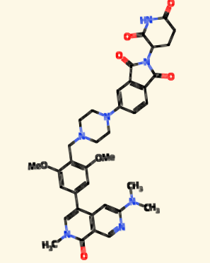 COc1cc(-c2cn(C)c(=O)c3cnc(N(C)C)cc23)cc(OC)c1CN1CCN(c2ccc3c(c2)C(=O)N(C2CCC(=O)NC2=O)C3=O)CC1